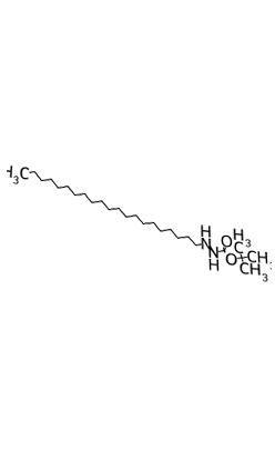 CCCCCCCCCCCCCCCCCCCCCNNC(=O)OC(C)(C)C